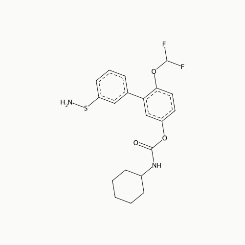 NSc1cccc(-c2cc(OC(=O)NC3CCCCC3)ccc2OC(F)F)c1